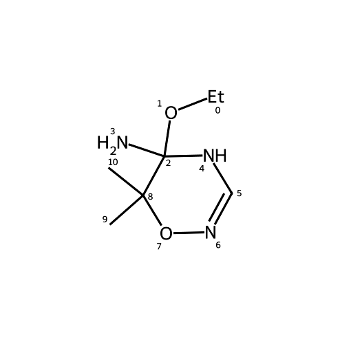 CCOC1(N)NC=NOC1(C)C